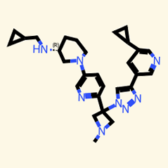 CN1CC(c2ccc(N3CCC[C@@H](NCC4CC4)C3)cn2)(n2cc(-c3cncc(C4CC4)c3)nn2)C1